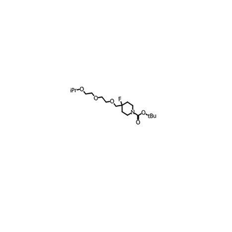 CC(C)OCCOCCOCC1(F)CCN(C(=O)OC(C)(C)C)CC1